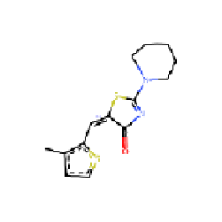 Cc1ccsc1/C=C1/SC(N2CCCCC2)=NC1=O